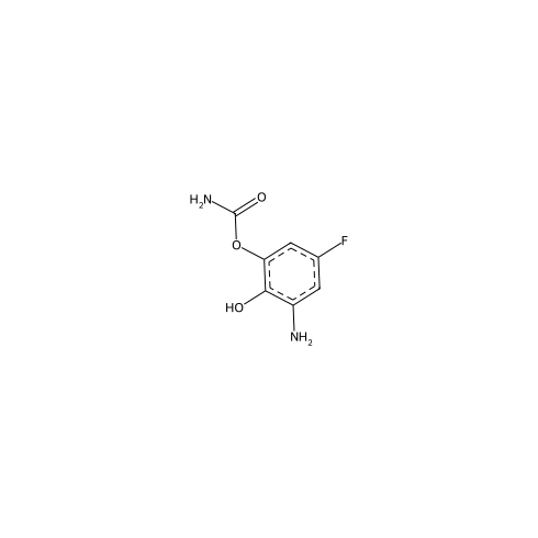 NC(=O)Oc1cc(F)cc(N)c1O